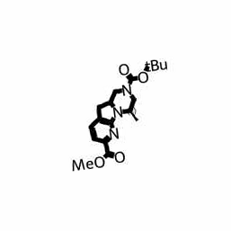 COC(=O)c1ccc2c(n1)N1C(C2)CN(C(=O)OC(C)(C)C)C[C@H]1C